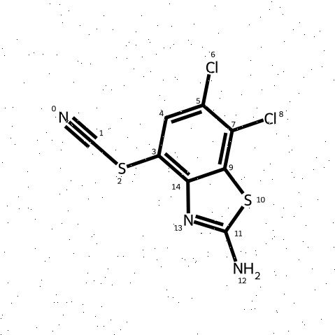 N#CSc1cc(Cl)c(Cl)c2sc(N)nc12